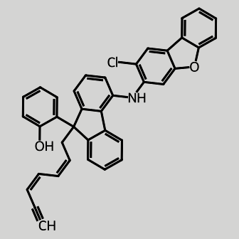 C#C/C=C\C=C/CC1(c2ccccc2O)c2ccccc2-c2c(Nc3cc4oc5ccccc5c4cc3Cl)cccc21